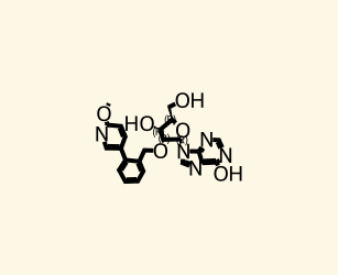 COc1ccc(-c2ccccc2CO[C@@H]2[C@H](O)[C@@H](CO)O[C@H]2n2cnc3c(O)ncnc32)cn1